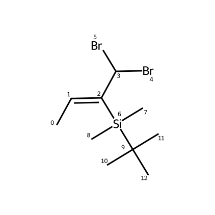 CC=C(C(Br)Br)[Si](C)(C)C(C)(C)C